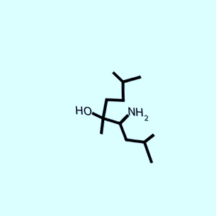 CC(C)CCC(C)(O)C(N)CC(C)C